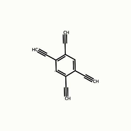 C#Cc1[c]c(C#C)c(C#C)cc1C#C